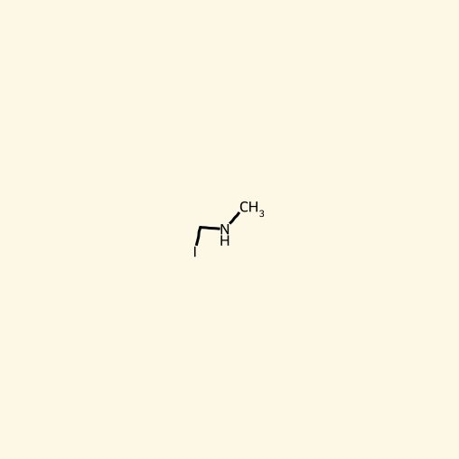 CNCI